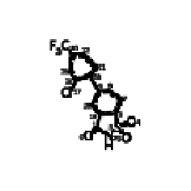 O=C1NS(=O)(=O)c2ccc(-c3ccc(C(F)(F)F)cc3Cl)cc21